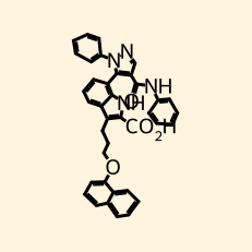 O=C(Nc1ccccc1)c1cnn(-c2ccccc2)c1-c1cccc2c(CCCOc3cccc4ccccc34)c(C(=O)O)[nH]c12